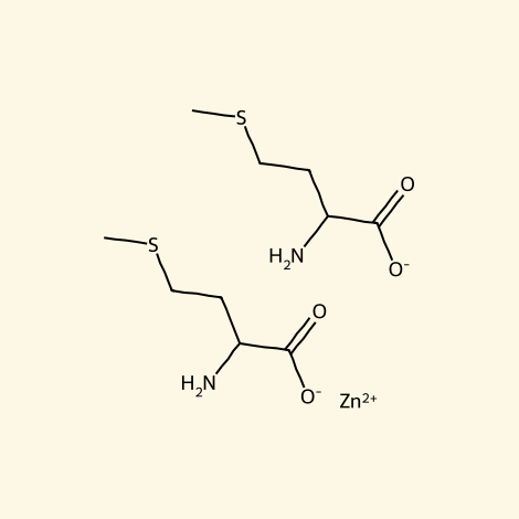 CSCCC(N)C(=O)[O-].CSCCC(N)C(=O)[O-].[Zn+2]